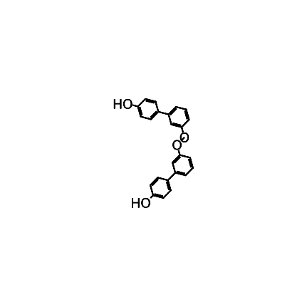 Oc1ccc(-c2cccc(OOc3cccc(-c4ccc(O)cc4)c3)c2)cc1